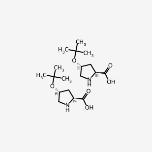 CC(C)(C)O[C@H]1CN[C@H](C(=O)O)C1.CC(C)(C)O[C@H]1CN[C@H](C(=O)O)C1